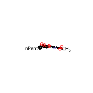 C=CC(=O)OCCC/C=C/CCCOc1ccc2cc(-c3ccc(CCCCC)cc3)c(=O)oc2c1